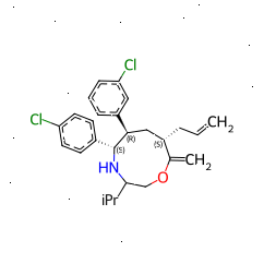 C=CC[C@H]1C[C@H](c2cccc(Cl)c2)[C@@H](c2ccc(Cl)cc2)NC(C(C)C)COC1=C